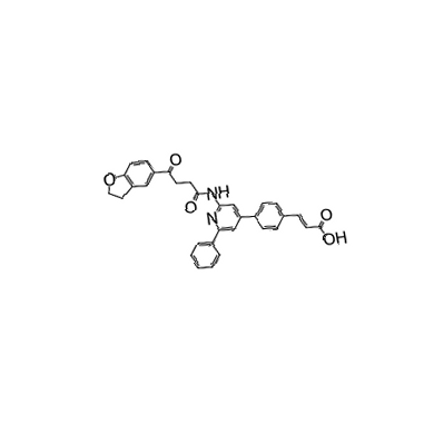 O=C(O)C=Cc1ccc(-c2cc(NC(=O)CCC(=O)c3ccc4c(c3)CCO4)nc(-c3ccccc3)c2)cc1